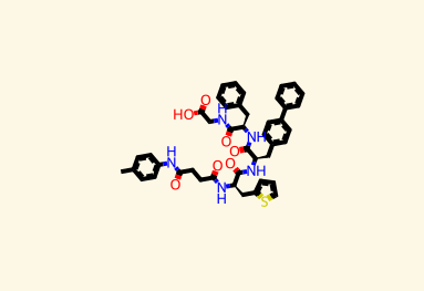 Cc1ccc(NC(=O)CCC(=O)N[C@H](Cc2cccs2)C(=O)N[C@H](Cc2ccc(-c3ccccc3)cc2)C(=O)N[C@H](Cc2ccccc2)C(=O)NCC(=O)O)cc1